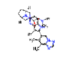 Cc1c(-c2[nH]c3ccc(N4[C@@H]5CC[C@H]4CN(C(=O)CN(C)C(C)C)C5)nc3c2C(C)C)cn2ncnc2c1C